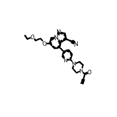 C#CC(=O)N1CCN(c2ccc(-c3cc(OCCOCC)cn4ncc(C#N)c34)cn2)CC1